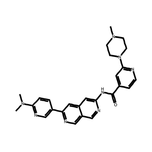 CN1CCN(c2cc(C(=O)Nc3cc4cc(-c5ccc(N(C)C)nc5)ncc4cn3)ccn2)CC1